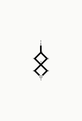 IC1CC2(COC2)C1